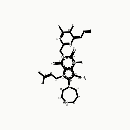 C=C/C=C1/N=C(Cn2c(=O)c3c(c(N)c(N4CCCNCC4)n3CC=C(C)C)n(C)c2=O)N=C(C)C1C